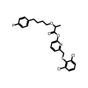 CC(OCCCCc1ccc(F)cc1)C(=O)Oc1cccc(CSc2c(Cl)cccc2Cl)n1